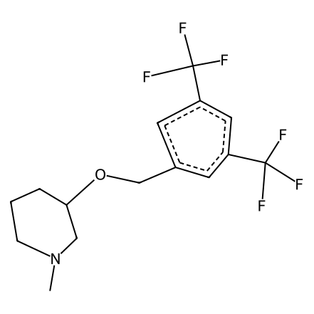 CN1CCCC(OCc2cc(C(F)(F)F)cc(C(F)(F)F)c2)C1